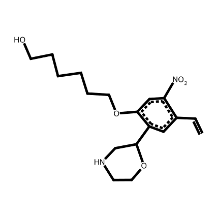 C=Cc1cc(C2CNCCO2)c(OCCCCCCO)cc1[N+](=O)[O-]